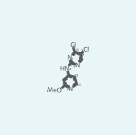 COc1cc(Nc2ncc(Cl)c(Cl)n2)ccn1